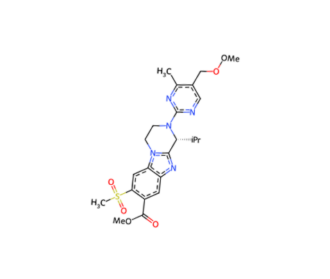 COOCc1cnc(N2CCn3c(nc4cc(C(=O)OC)c(S(C)(=O)=O)cc43)[C@H]2C(C)C)nc1C